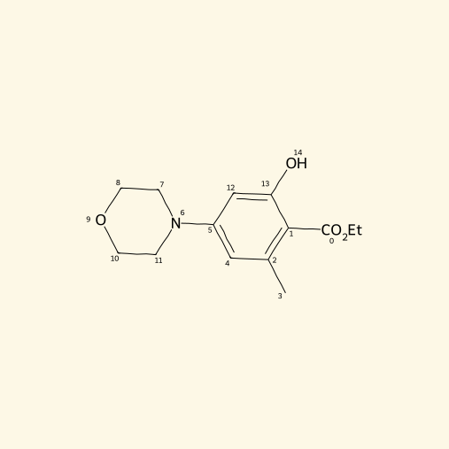 CCOC(=O)c1c(C)cc(N2CCOCC2)cc1O